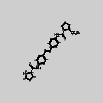 CCOC(=O)N1CCC[C@H]1C(=O)Nc1ccc(/C=C/c2ccc(NC(=O)[C@@H]3CCCN3)cc2)cc1